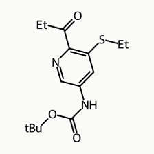 CCSc1cc(NC(=O)OC(C)(C)C)cnc1C(=O)CC